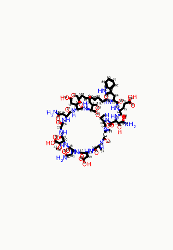 CCC(C)C1NC(=O)C(C(C)CC(=O)O)NC(=O)C(CC(N)=O)NC(=O)CNC(=O)C(C(OC)C(=O)O)NC(=O)C(CC(N)=O)NC(=O)C(CC(=O)O)NC(=O)C(C)NC(=O)CN(C)C(=O)C(NC(=O)C(NC(=O)C(CCC(=O)O)NC(=O)C(Cc2c[nH]c3ccccc23)NC(=O)CCCCCCC(C)C)C(O)C(N)=O)C(C)OC1=O